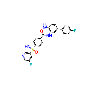 N=S(=O)(c1ccc(C(=O)Nc2cc(-c3ccc(F)cc3)ccc2N)cc1)c1cncc(F)c1